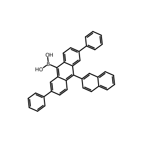 OB(O)c1c2cc(-c3ccccc3)ccc2c(-c2ccc3ccccc3c2)c2cc(-c3ccccc3)ccc12